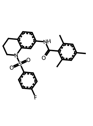 Cc1cc(C)c(C(=O)Nc2ccc3c(c2)N(S(=O)(=O)c2ccc(F)cc2)CCC3)c(C)c1